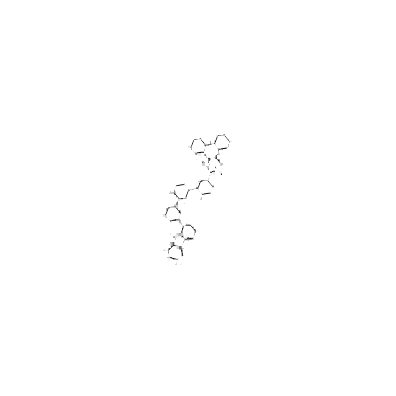 c1cc(-c2cccc(-c3ncc4c5ccccc5c5ccccc5c4n3)c2)cc(-c2cccc(-c3cccc4c3sc3ccccc34)c2)c1